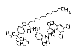 CCCCCCCCCCCCC(Oc1ccc(C(C)(C)CC)cc1)C(=O)Nc1ccc(Cl)c(NC2=NN(c3c(Cl)cc(Cl)cc3Cl)C(=O)C2)c1